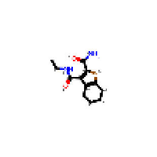 CCNC(=O)c1c(C(N)=O)sc2c1CCCC2